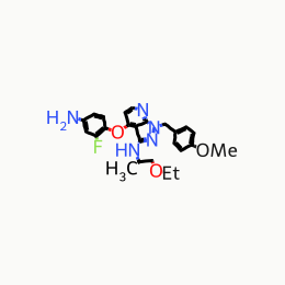 CCOCC(C)Nc1nn(Cc2ccc(OC)cc2)c2nccc(Oc3ccc(N)cc3F)c12